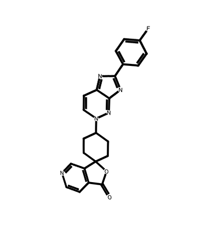 O=C1OC2(CCC(n3ccc4nc(-c5ccc(F)cc5)nc-4n3)CC2)c2cnccc21